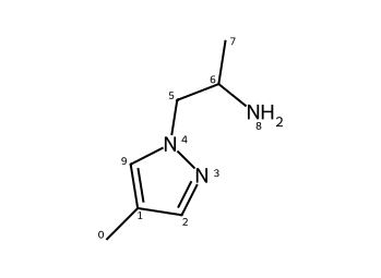 Cc1cnn(CC(C)N)c1